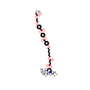 C=CC(=O)OCCCOc1ccc(C(=O)Oc2ccc(OC(=O)c3ccc(OCCCCCCOC(=O)CCC(=O)OC4CC(C)(C)N(C)C(C)(C)C4)cc3)cc2)cc1